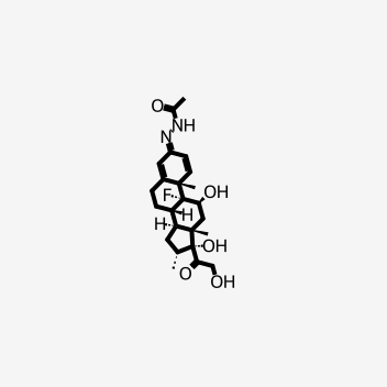 CC(=O)N/N=C1\C=C[C@@]2(C)C(=C1)CC[C@H]1[C@@H]3C[C@@H](C)[C@](O)(C(=O)CO)[C@@]3(C)C[C@H](O)[C@@]12F